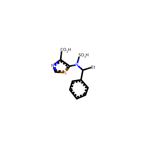 CCC(c1ccccc1)N(c1scnc1C(=O)O)S(=O)(=O)O